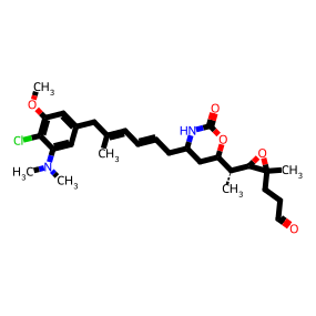 COc1cc(C/C(C)=C/C=C/CC2CC([C@@H](C)C3OC3(C)CCC=O)OC(=O)N2)cc(N(C)C)c1Cl